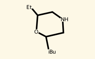 CCC1CNCC(C(C)CC)O1